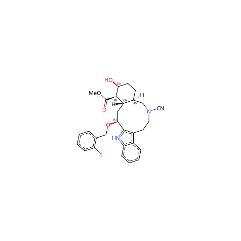 COC(=O)[C@@H]1[C@H]2C[C@H](OCc3ccccc3I)c3[nH]c4ccccc4c3CCN(C#N)C[C@@H]2CC[C@@H]1O